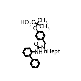 CCCCCCCN(Cc1ccc(OC(C)(C)C(=O)O)cc1)C(=O)Nc1ccccc1-c1ccccc1